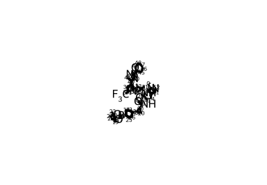 Cn1cc(C[C@@H](NC(=O)[C@H]2C[C@@H]2c2ccc(B3OC(C)(C)C(C)(C)O3)cc2)C(=O)NC(C)(C)Cn2nc(C(F)(F)F)cc2-c2cnn(C3CCCCO3)n2)cn1